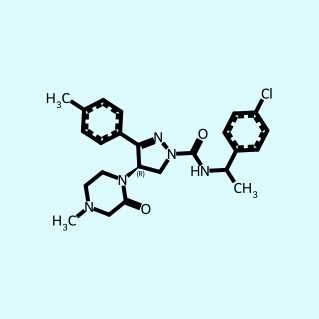 Cc1ccc(C2=NN(C(=O)NC(C)c3ccc(Cl)cc3)C[C@H]2N2CCN(C)CC2=O)cc1